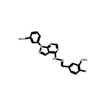 COc1cccc(-n2ncc3c(N/N=C/c4ccc(F)c(OC)c4)ncnc32)c1